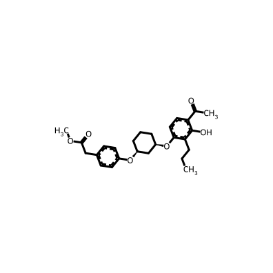 CCCc1c(O[C@@H]2CCC[C@H](Oc3ccc(CC(=O)OC)cc3)C2)ccc(C(C)=O)c1O